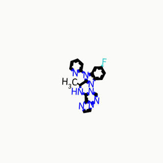 C[C@H](Nc1ncnn2ccnc12)c1nc2ccc(F)cc2n1-c1ccccn1